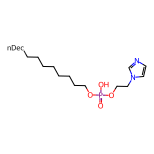 CCCCCCCCCCCCCCCCCCOP(=O)(O)OCCn1ccnc1